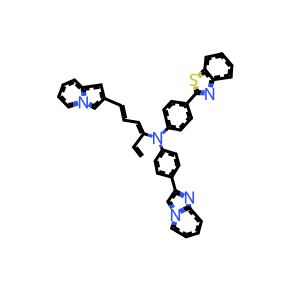 C=C/C(=C\C=C\c1cc2ccccn2c1)N(c1ccc(-c2cn3ccccc3n2)cc1)c1ccc(-c2nc3ccccc3s2)cc1